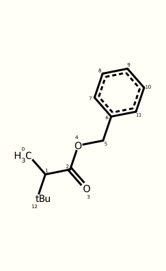 CC(C(=O)OCc1ccccc1)C(C)(C)C